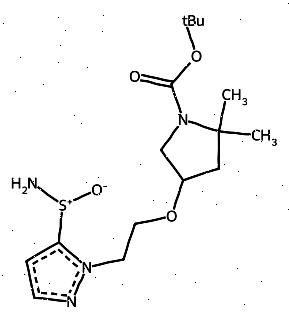 CC(C)(C)OC(=O)N1CC(OCCn2nccc2[S+](N)[O-])CC1(C)C